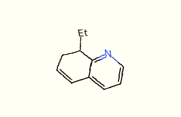 CCC1CC=Cc2cccnc21